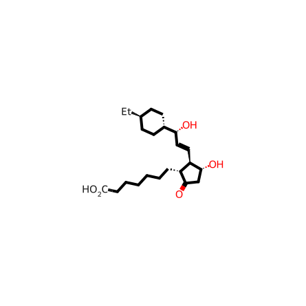 CC[C@H]1CC[C@H]([C@H](O)C=C[C@H]2[C@H](O)CC(=O)[C@@H]2CCCCCCC(=O)O)CC1